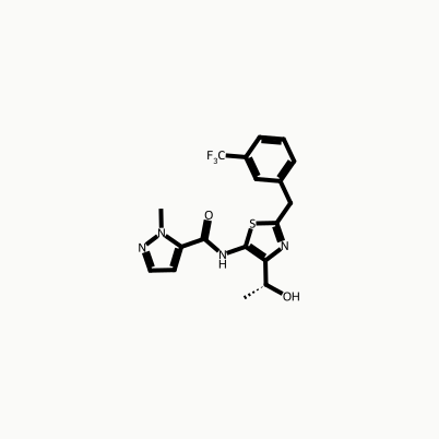 C[C@@H](O)c1nc(Cc2cccc(C(F)(F)F)c2)sc1NC(=O)c1ccnn1C